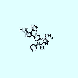 CC[C@@H]1c2nnc(C)n2-c2cnc(-c3cnn(C)c3-c3nccs3)nc2N1C1CCCOC1